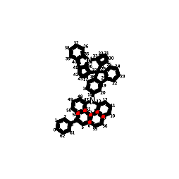 c1ccc(-c2ccc(-c3ccccc3N(c3ccc4c(c3)-c3ccccc3C43c4ccccc4-n4c5ccccc5c5cccc3c54)c3ccccc3-c3ccccc3)cc2)cc1